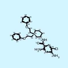 Nc1nc(N)c(C(=O)N[C@H]2CCC[N+](CCOc3ccccc3)(CCOc3ccccc3)C2)nc1Cl